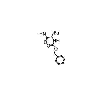 CCC(C)C(NC(=O)OCc1ccccc1)C([NH])=O